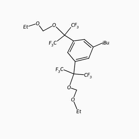 CCOCOC(c1cc(C(C)CC)cc(C(OCOCC)(C(F)(F)F)C(F)(F)F)c1)(C(F)(F)F)C(F)(F)F